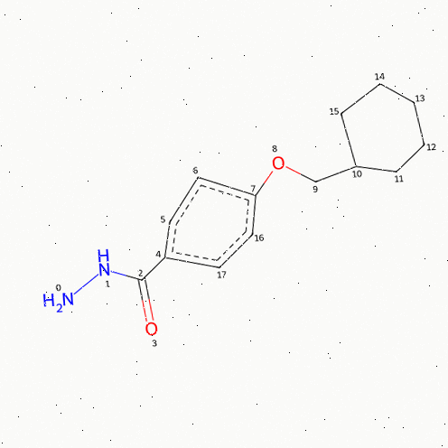 NNC(=O)c1ccc(OCC2CCCCC2)cc1